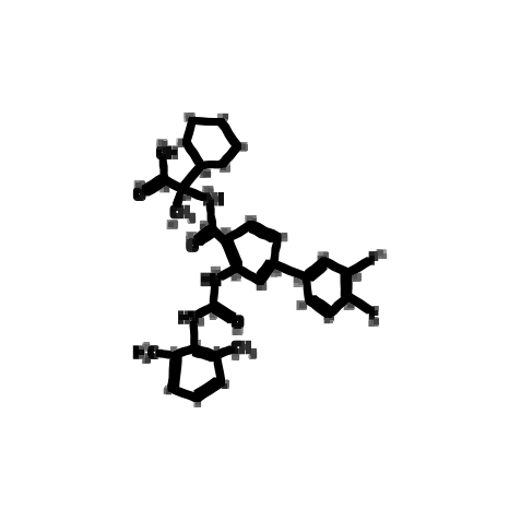 Cc1cccc(C)c1NC(=O)Nc1cc(-c2ccc(F)c(F)c2)ccc1C(=O)N[C@](C)(C(=O)O)C1CCCCC1